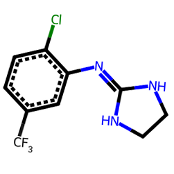 FC(F)(F)c1ccc(Cl)c(N=C2NCCN2)c1